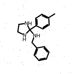 Cc1ccc(C2(NCc3ccccc3)NCCN2)cc1